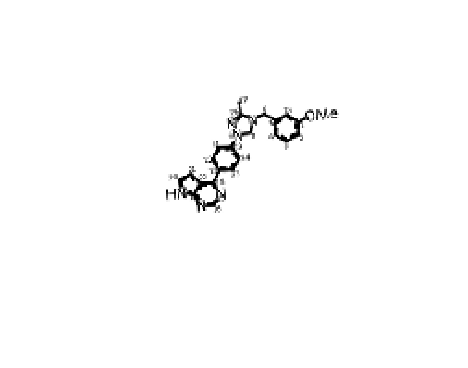 COc1cccc(CN2CN(c3ccc(-c4ncnc5[nH]ccc45)cc3)N=C2C)c1